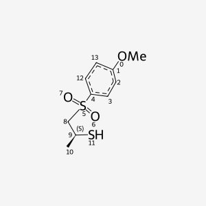 COc1ccc(S(=O)(=O)C[C@H](C)S)cc1